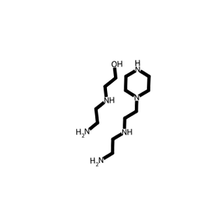 NCCNCCN1CCNCC1.NCCNCCO